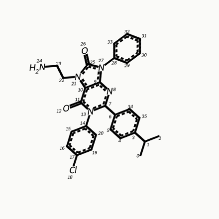 CC(C)c1ccc(-c2nc3c(c(=O)n2-c2ccc(Cl)cc2)n(CCN)c(=O)n3-c2ccccc2)cc1